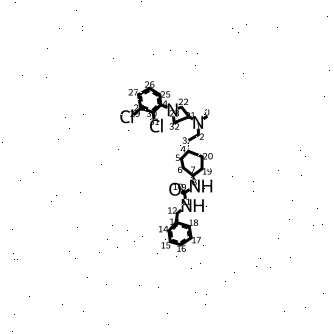 CN(CC[C@H]1CC[C@H](NC(=O)NCc2ccccc2)CC1)C1CN(c2cccc(Cl)c2Cl)C1